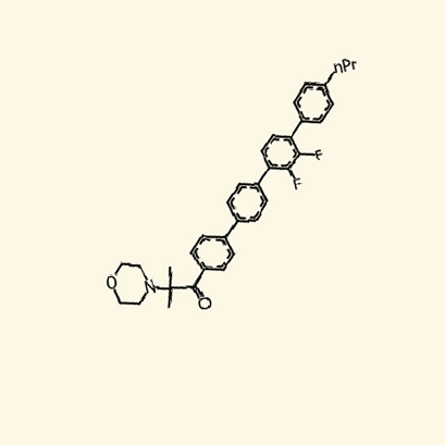 CCCc1ccc(-c2ccc(-c3ccc(-c4ccc(C(=O)C(C)(C)N5CCOCC5)cc4)cc3)c(F)c2F)cc1